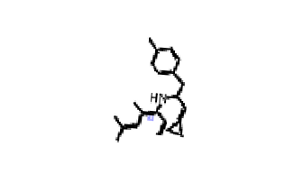 C=C/C(NC(C=C1CC1)Cc1ccc(C)cc1)=C(/C)C=C(C)C